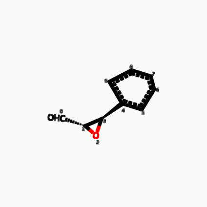 O=C[C@H]1O[C@@H]1c1ccccc1